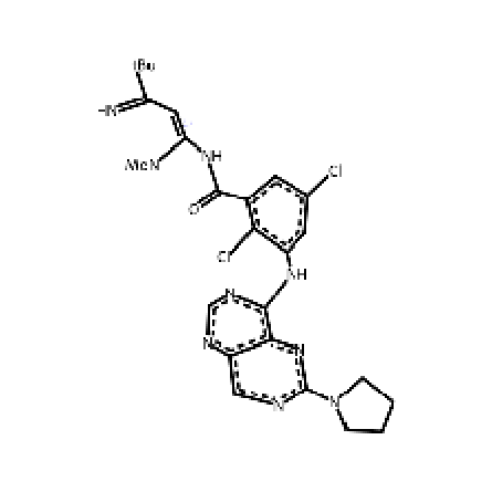 CN/C(=C\C(=N)C(C)(C)C)NC(=O)c1cc(Cl)cc(Nc2ncnc3cnc(N4CCCC4)nc23)c1Cl